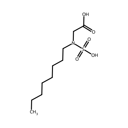 CCCCCCCCN(CC(=O)O)S(=O)(=O)O